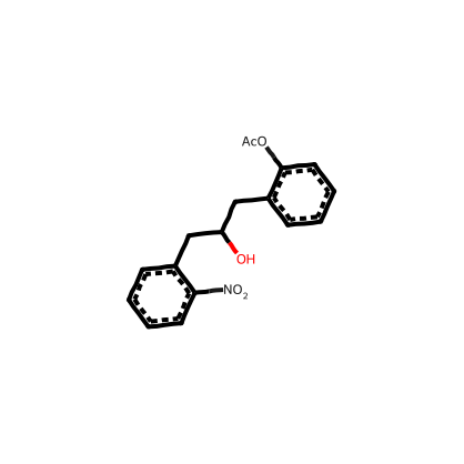 CC(=O)Oc1ccccc1CC(O)Cc1ccccc1[N+](=O)[O-]